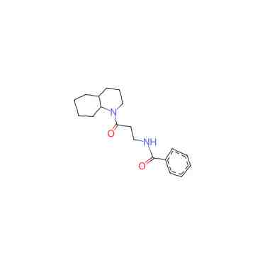 O=C(NCCC(=O)N1CCCC2CCCCC21)c1ccccc1